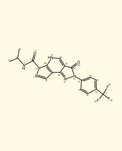 CC(C)NC(=O)n1ncc2c3nn(-c4ccc(C(F)(F)F)cc4)c(=O)c-3c[nH]c21